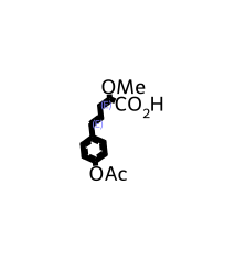 CO/C(=C/C=C/c1ccc(OC(C)=O)cc1)C(=O)O